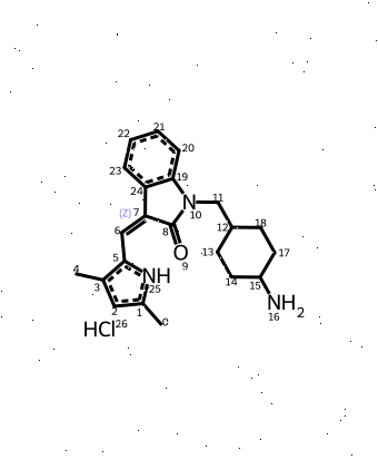 Cc1cc(C)c(/C=C2\C(=O)N(CC3CCC(N)CC3)c3ccccc32)[nH]1.Cl